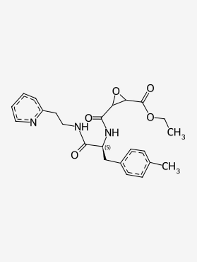 CCOC(=O)C1OC1C(=O)N[C@@H](Cc1ccc(C)cc1)C(=O)NCCc1ccccn1